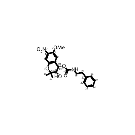 COc1cc2c(cc1[N+](=O)[O-])OC(C)(C)[C@H](O)[C@H]2OC(=O)NCCc1ccccc1